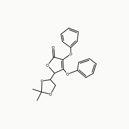 CC1(C)OCC(C2OC(=O)C(Oc3ccccc3)=C2Oc2ccccc2)O1